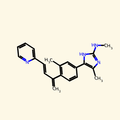 C=C(/C=C/c1ccccn1)c1ccc(-c2[nH]c(NC)nc2C)cc1C